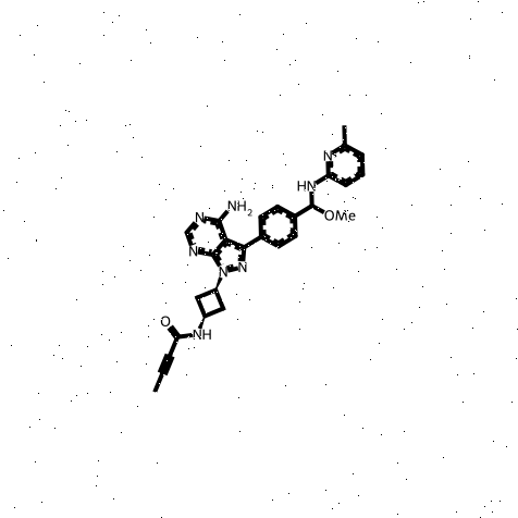 CC#CC(=O)N[C@H]1C[C@@H](n2nc(-c3ccc(C(Nc4cccc(C)n4)OC)cc3)c3c(N)ncnc32)C1